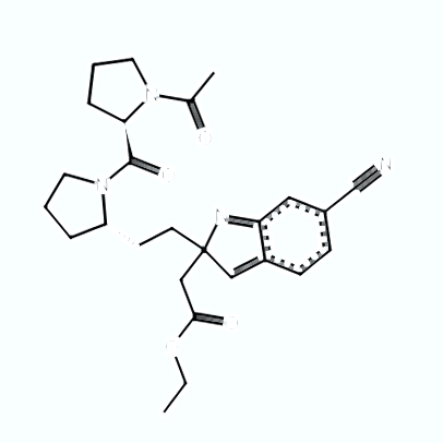 CCOC(=O)CC1(CC[C@@H]2CCCN2C(=O)[C@H]2CCCN2C(C)=O)C=c2ccc(C#N)cc2=N1